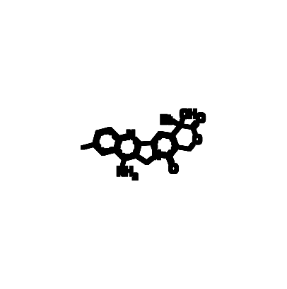 CC[C@@]1(O)C(=O)OCc2c1cc1n(c2=O)Cc2c-1nc1ccc(C)cc1c2N